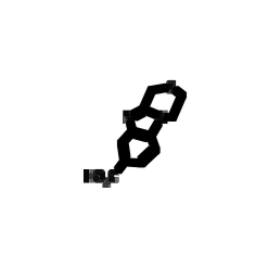 O=C(O)c1ccc2c(c1)nc1n2CCSC1